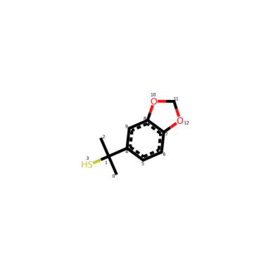 CC(C)(S)c1ccc2c(c1)OCO2